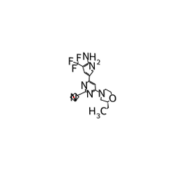 CC[C@H]1CN(c2cc(-c3cnc(N)c(C(F)(F)F)c3)nc(N3CC4CC3C4)n2)CCO1